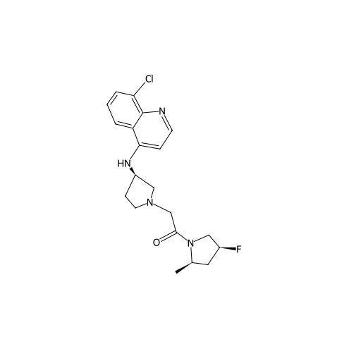 C[C@@H]1C[C@H](F)CN1C(=O)CN1CC[C@@H](Nc2ccnc3c(Cl)cccc23)C1